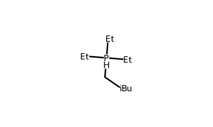 CCC(C)C[PH](CC)(CC)CC